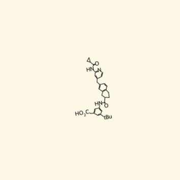 CC(C)(C)c1cc(CC(=O)O)cc(NC(=O)C2CCc3ccc(Cc4ccnc(NC(=O)C5CC5)c4)cc3C2)c1